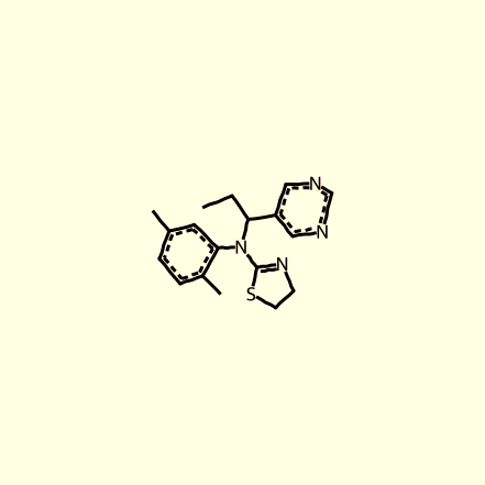 CCC(c1cncnc1)N(C1=NCCS1)c1cc(C)ccc1C